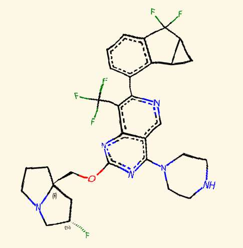 F[C@@H]1CN2CCC[C@]2(COc2nc(N3CCNCC3)c3cnc(-c4cccc5c4C4CC4C5(F)F)c(C(F)(F)F)c3n2)C1